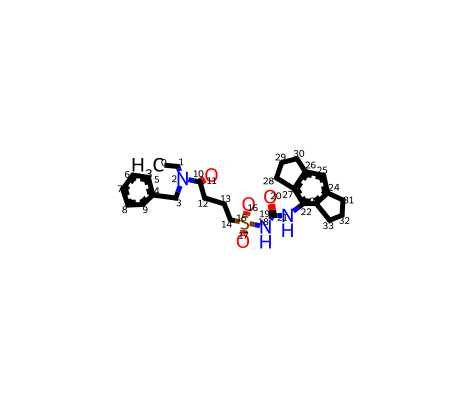 CCN(Cc1ccccc1)C(=O)CCCS(=O)(=O)NC(=O)Nc1c2c(cc3c1CCC3)CCC2